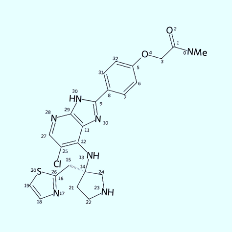 CNC(=O)COc1ccc(-c2nc3c(N[C@]4(Cc5nccs5)CCNC4)c(Cl)cnc3[nH]2)cc1